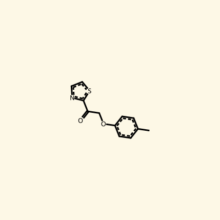 Cc1ccc(OCC(=O)c2nccs2)cc1